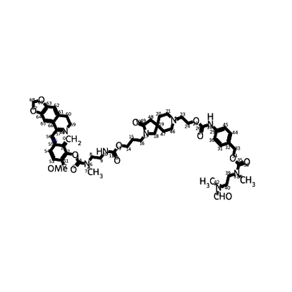 C=c1c(OC(=O)N(C)CCNC(=O)OCCCN2CC3(CCN(CCOC(=O)Nc4ccc(COC(=O)N(C)CCN(C)C=O)cc4)CC3)CC2=O)c(OC)cc/c1=C/C1=NCCc2cc3c(cc21)OCO3